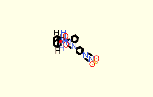 CC(=O)N[C@]12CC3C[C@H](C1)[C@@H](NC(=O)N1CCN(c4ccc(N5CCN(S(C)(=O)=O)CC5)cc4)c4ccccc41)[C@@H](C3)C2